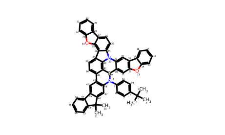 CC(C)(C)c1ccc(N2B3c4cc5oc6ccccc6c5cc4-n4c5ccc6c7ccccc7oc6c5c5ccc(c3c54)-c3cc4c(cc32)C(C)(C)c2ccccc2-4)cc1